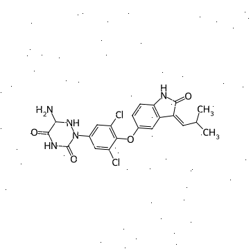 CC(C)/C=C1\C(=O)Nc2ccc(Oc3c(Cl)cc(N4NC(N)C(=O)NC4=O)cc3Cl)cc21